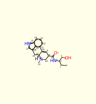 CCC(CO)NC(=O)C1C=C2c3cccc4[nH]cc(c34)C[C@H]2N(C)C1